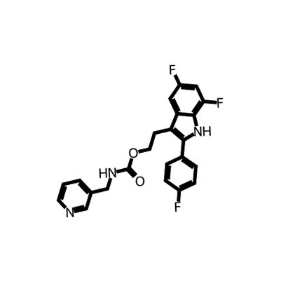 O=C(NCc1cccnc1)OCCc1c(-c2ccc(F)cc2)[nH]c2c(F)cc(F)cc12